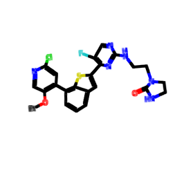 CCOc1cnc(Cl)cc1-c1cccc2cc(-c3nc(NCCN4CCNC4=O)ncc3F)sc12